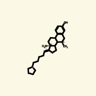 C[C@@H]1Cc2cc(O)ccc2C2CC[C@]3(C)/C(=C/CCCCN4CCCC4)CCC3C21